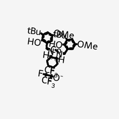 COc1cc(C=[N+]2[Co][N+](=Cc3cc(OC)cc(C(C)(C)C)c3O)[C@@H]3CCCC[C@H]32)c(O)c(C(C)(C)C)c1.[O-]C(F)(F)C(F)(C(F)(F)F)C(F)(F)F